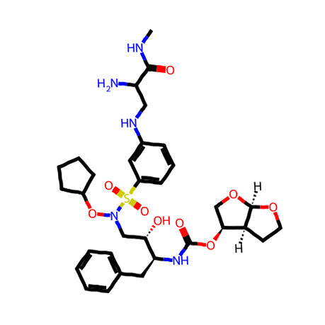 CNC(=O)C(N)CNc1cccc(S(=O)(=O)N(C[C@H](O)[C@H](Cc2ccccc2)NC(=O)O[C@H]2CO[C@H]3OCC[C@H]32)OC2CCCC2)c1